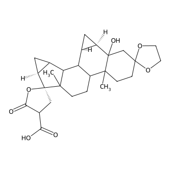 CC12CCC3(CC1(O)[C@@H]1C[C@@H]1C1C2CCC2(C)C1C1C[C@@H]1[C@@]21CC(C(=O)O)C(=O)O1)OCCO3